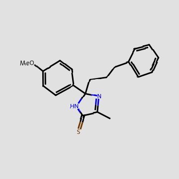 COc1ccc(C2(CCCc3ccccc3)N=C(C)C(=S)N2)cc1